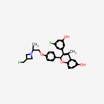 CC1=C(c2cc(O)cc(F)c2)C(c2ccc(OCC(C)N3CC(CF)C3)cc2)Oc2ccc(O)cc21